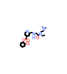 CCN(CCN(C)C)C(=O)CNCc1cc(C(=O)Oc2ccccc2OC)ccn1